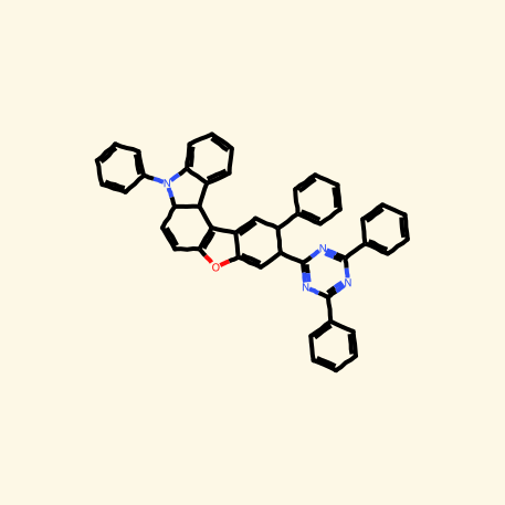 C1=CC2C(c3ccccc3N2c2ccccc2)c2c1oc1c2=CC(c2ccccc2)C(c2nc(-c3ccccc3)nc(-c3ccccc3)n2)C=1